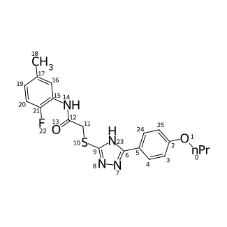 CCCOc1ccc(-c2nnc(SCC(=O)Nc3cc(C)ccc3F)[nH]2)cc1